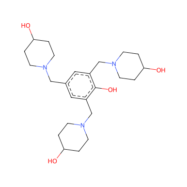 Oc1c(CN2CCC(O)CC2)cc(CN2CCC(O)CC2)cc1CN1CCC(O)CC1